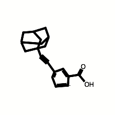 O=C(O)c1[c]ccc(C#CC23CC4CC(CC(C4)C2)C3)c1